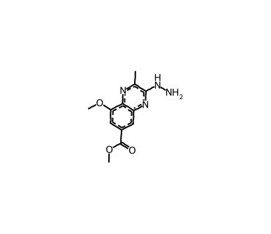 COC(=O)c1cc(OC)c2nc(C)c(NN)nc2c1